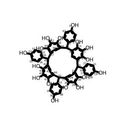 Oc1ccc(C2c3cc(c(O)c(O)c3O)C(c3ccc(O)cc3)c3cc(c(O)c(O)c3O)C(c3ccc(O)cc3)c3cc(c(O)c(O)c3O)C(c3ccc(O)cc3)c3cc2c(O)c(O)c3O)cc1